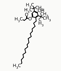 CCCCCCCCCCCCCCCCCCc1c(OC(=O)CC)cc(C(C)(C)C)c(O)c1C(C)(C)C